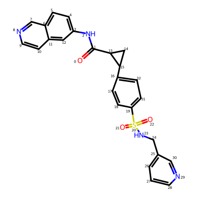 O=C(Nc1ccc2cnccc2c1)C1CC1c1ccc(S(=O)(=O)NCc2cccnc2)cc1